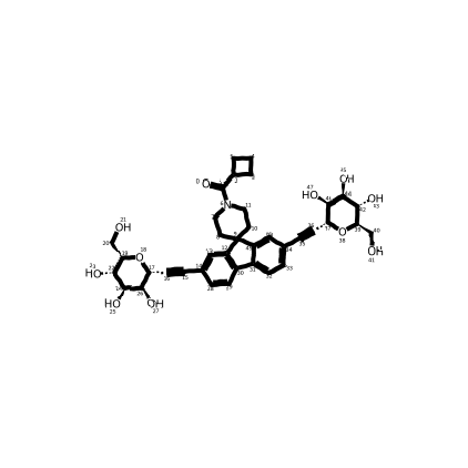 O=C(C1CCC1)N1CCC2(CC1)c1cc(C#C[C@H]3O[C@H](CO)[C@@H](O)[C@H](O)[C@@H]3O)ccc1-c1ccc(C#C[C@H]3O[C@H](CO)[C@@H](O)[C@H](O)[C@@H]3O)cc12